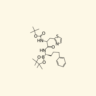 CC(C)(C)OC(=O)NC(Cc1nccs1)C(=O)N[C@@H](CCCc1ccccc1)B1OC(C)(C)C(C)(C)O1